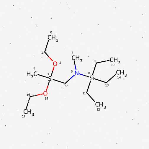 CCO[Si](C)(CN(C)[Si](CC)(CC)CC)OCC